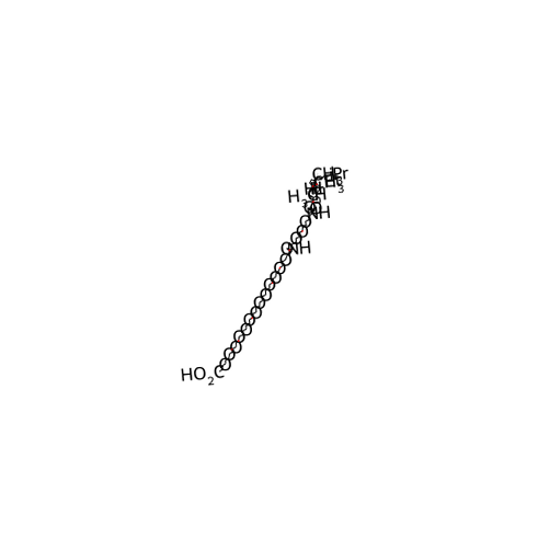 CC[C@H](CC[C@@H](C)C1CC[C@H]2[C@@H]3CC=C4C[C@@H](OC(=O)NCCOCCOCCOCCNC(=O)CCOCCOCCOCCOCCOCCOCCOCCOCCOCCOCCOCCOCCOCCC(=O)O)CC[C@]4(C)[C@H]3CC[C@]12C)C(C)C